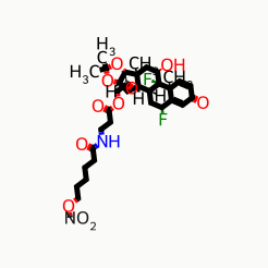 CC1(C)O[C@@H]2C[C@H]3[C@@H]4C[C@H](F)C5=CC(=O)C=C[C@]5(C)[C@@]4(F)[C@@H](O)C[C@]3(C)[C@]2(C(=O)COC(=O)CCNC(=O)CCCCCO[N+](=O)[O-])O1